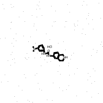 CN(C)c1cccc(NC(=O)Nc2ccc3c(c2)CCNC3)c1.Cl